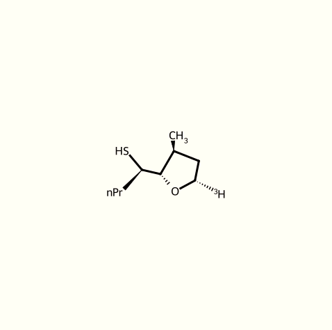 [3H][C@H]1C[C@H](C)[C@@H]([C@H](S)CCC)O1